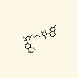 COc1ccc(C23C[C@@H]2CN(CCCSc2nnc(-c4cccc5nc(C)ccc45)n2C)C3)cc1C(C)=O